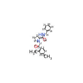 Cc1ccc(C(=O)CN2CCC[C@H]2C(=O)NCc2ccccc2)c(C)c1